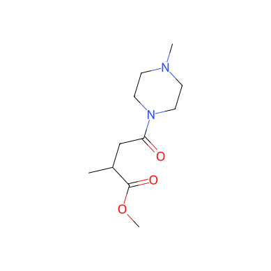 COC(=O)C(C)CC(=O)N1CCN(C)CC1